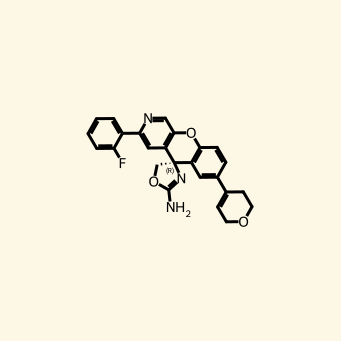 NC1=N[C@]2(CO1)c1cc(C3=CCOCC3)ccc1Oc1cnc(-c3ccccc3F)cc12